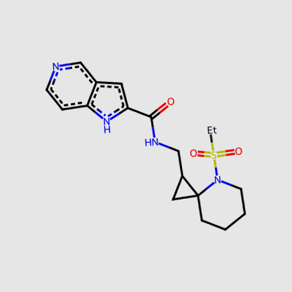 CCS(=O)(=O)N1CCCCC12CC2CNC(=O)c1cc2cnccc2[nH]1